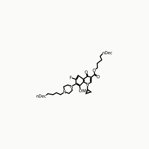 CCCCCCCCCCCCCCOC(=O)c1cn(C2CC2)c2c(OC)c(N3CCN(CCCCCCCCCCCCCC)CC3)c(F)cc2c1=O